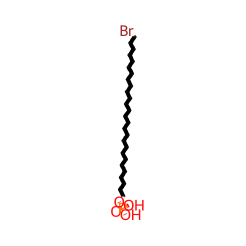 O=P(O)(O)OCCCCCCCCCCCCCCCCCCCCCCCCCCCBr